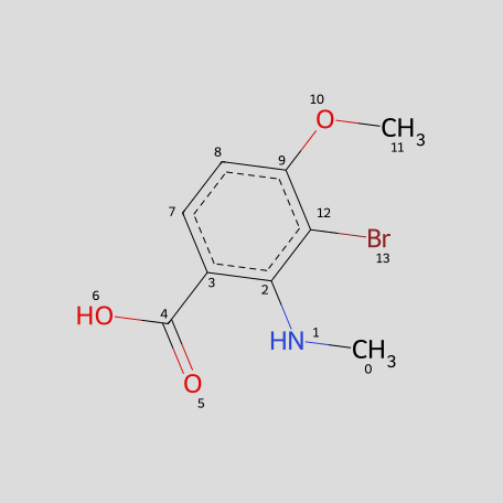 CNc1c(C(=O)O)ccc(OC)c1Br